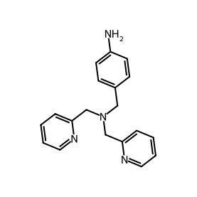 Nc1ccc(CN(Cc2ccccn2)Cc2ccccn2)cc1